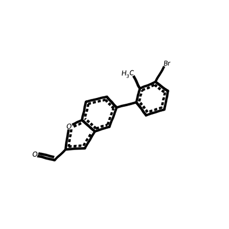 Cc1c(Br)cccc1-c1ccc2oc(C=O)cc2c1